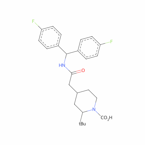 CC(C)(C)C1CC(CC(=O)NC(c2ccc(F)cc2)c2ccc(F)cc2)CCN1C(=O)O